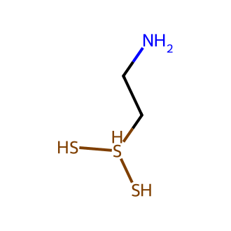 NCC[SH](S)S